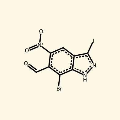 O=Cc1c([N+](=O)[O-])cc2c(I)n[nH]c2c1Br